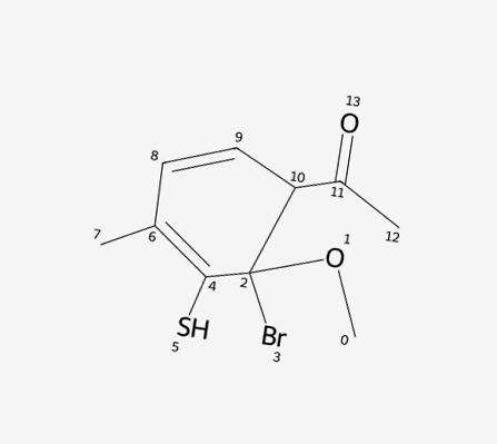 COC1(Br)C(S)=C(C)C=CC1C(C)=O